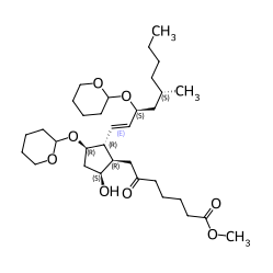 CCCC[C@H](C)C[C@@H](/C=C/[C@@H]1[C@@H](CC(=O)CCCCC(=O)OC)[C@@H](O)C[C@H]1OC1CCCCO1)OC1CCCCO1